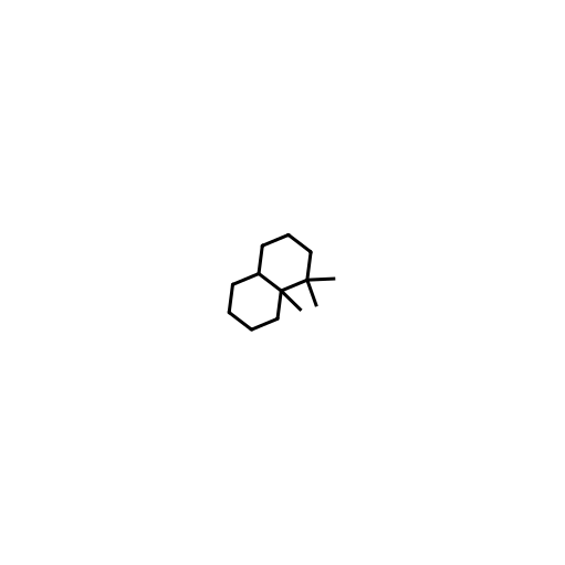 CC1(C)CCCC2CCCCC21C